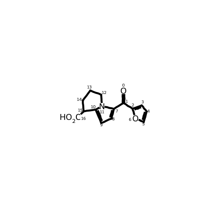 O=C(c1ccco1)c1ccc2n1CCCC2C(=O)O